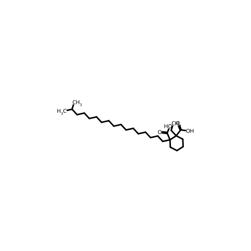 CCC1(C(=O)O)CCCCC1(CCCCCCCCCCCCCCCC(C)C)C(=O)O